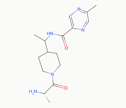 Cc1cnc(C(=O)NC(C)C2CCN(C(=O)[C@H](C)N)CC2)cn1